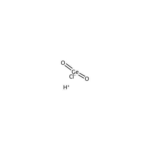 [Cl-].[H+].[O]=[Ge]=[O]